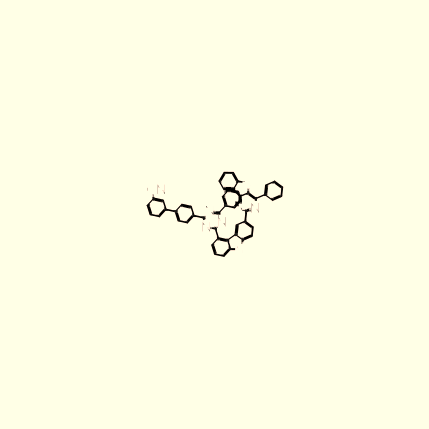 N#Cc1cccc(-c2ccc(-c3nc(-c4ccccc4)nc(-c4cccc5sc6ccc(-c7nc(-c8ccccc8)c8sc9ccccc9c8n7)cc6c45)n3)cc2)c1